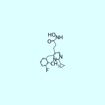 Cc1c(F)cccc1Cc1nc(C2CC2)ncc1CCC(=O)NO